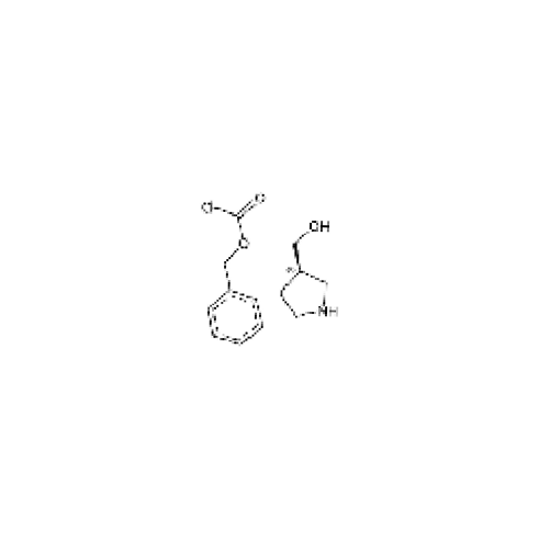 O=C(Cl)OCc1ccccc1.OC[C@@H]1CCNC1